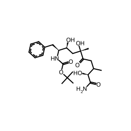 CC(CC(=O)[C@@](C)(O)C[C@H](O)[C@H](Cc1ccccc1)NC(=O)OC(C)(C)C)[C@H](O)C(N)=O